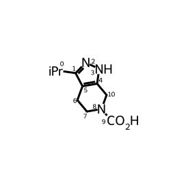 CC(C)c1n[nH]c2c1CCN(C(=O)O)C2